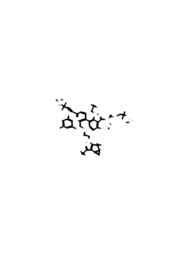 CC(C)(CNC(=O)N(c1nn(CC(F)(F)F)c2c(-c3ccc(C#CC(C)(C)S(C)(=O)=O)nc3[C@H](Cc3cc(F)cc(F)c3)NC(=O)Cn3nc(C(F)(F)F)c4c3C(F)(F)[C@@H]3C[C@H]43)ccc(Cl)c12)S(C)(=O)=O)OP(=O)(O)O